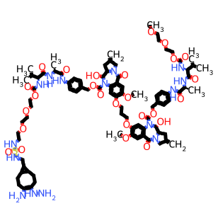 C=C1CC2C(O)N(C(=O)OCc3ccc(NC(=O)[C@H](C)NC(=O)[C@@H](NC(=O)OCCOCCOC)C(C)C)cc3)c3cc(OCCCOc4cc5c(cc4OC)C(=O)N4CC(=C)CC4C(O)N5C(=O)OCc4ccc(NC(=O)[C@H](C)NC(=O)[C@@H](NC(=O)OCCOCCOCCNS(=O)(=O)NCC5C6CC/C(N)=C(/NN)CCC65)C(C)C)cc4)c(OC)cc3C(=O)N2C1